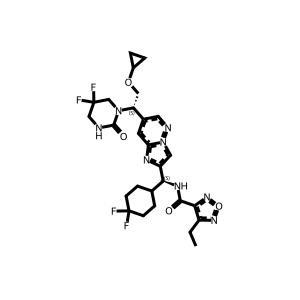 CCc1nonc1C(=O)N[C@H](c1cn2ncc([C@@H](COC3CC3)N3CC(F)(F)CNC3=O)cc2n1)C1CCC(F)(F)CC1